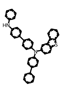 c1ccc(Nc2ccc(-c3ccc(N(c4ccc(-c5ccccc5)cc4)c4ccc5sc6ccccc6c5c4)cc3)cc2)cc1